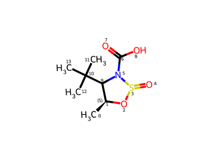 C[C@@H]1OS(=O)N(C(=O)O)C1C(C)(C)C